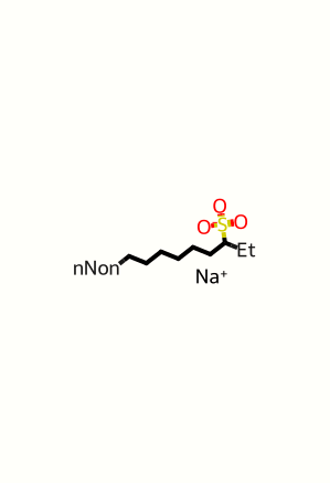 CCCCCCCCCCCCCCCC(CC)S(=O)(=O)[O-].[Na+]